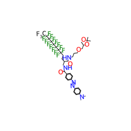 CN(C)c1ccc(/N=N/c2ccc(C(=O)NCC(CCC(F)(F)C(F)(F)C(F)(F)C(F)(F)C(F)(F)C(F)(F)C(F)(F)C(F)(F)F)C(=O)NCCCOCC3COC(C)(C)O3)cc2)cc1